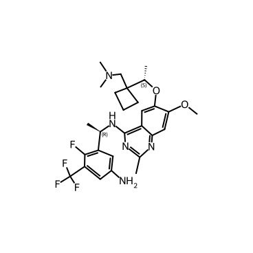 COc1cc2nc(C)nc(N[C@H](C)c3cc(N)cc(C(F)(F)F)c3F)c2cc1O[C@@H](C)C1(CN(C)C)CCC1